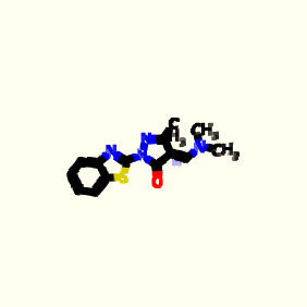 CC1=NN(c2nc3ccccc3s2)C(=O)/C1=C/N(C)C